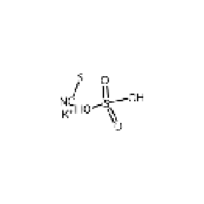 N#C[S-].O=S(=O)(O)O.[K+]